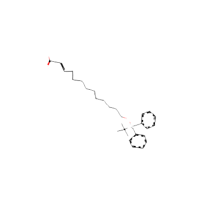 CC(C)(C)[Si](OCCCCCCCCCC/C=C/C(=O)O)(c1ccccc1)c1ccccc1